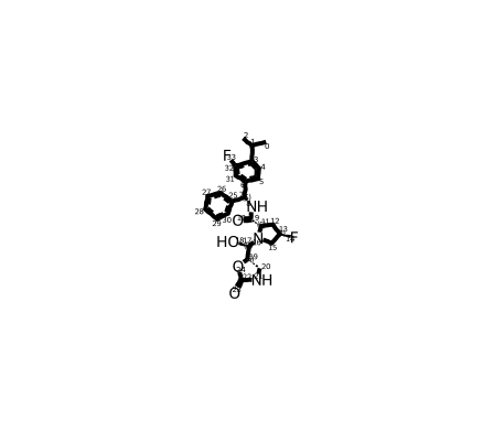 CC(C)c1ccc([C@@H](NC(=O)[C@@H]2C[C@@H](F)CN2[C@H](O)[C@@H]2CNC(=O)O2)c2ccccc2)cc1F